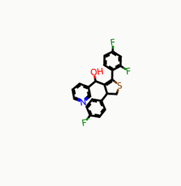 OC(C1=C(c2ccc(F)cc2F)SCC1c1ccc(F)cc1)c1cccnc1